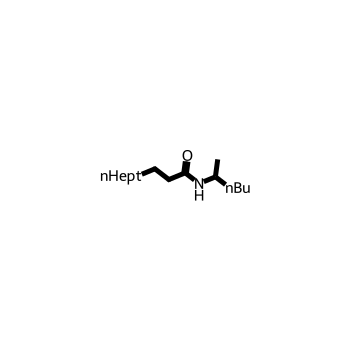 CCCCCCCCCC(=O)NC(C)CCCC